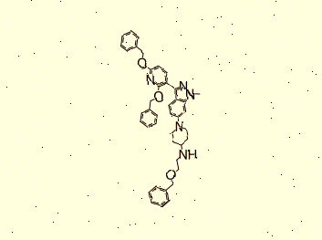 Cn1nc(-c2ccc(OCc3ccccc3)nc2OCc2ccccc2)c2ccc(N3CCC(NCCOCc4ccccc4)CC3)cc21